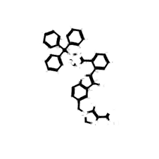 CC1=C(C(=O)O)NCN1Cc1ccc2oc(-c3ccccc3-c3nnn(C(c4ccccc4)(c4ccccc4)c4ccccc4)n3)c(Br)c2c1